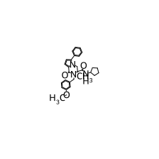 COc1cccc(CN2C(=O)c3ccc(-c4ccccc4)n3CC2(C)C(=O)NC2CCCC2)c1